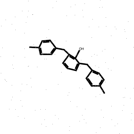 Cc1ccc(Cc2cccc(Cc3ccc(C)cc3)c2O)cc1